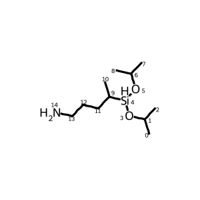 CC(C)O[SiH](OC(C)C)C(C)CCCN